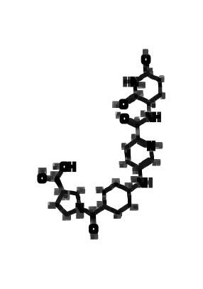 O=C1CCC(NC(=O)c2ccc(NC3CCC(C(=O)N4CC[C@@H](C(=O)O)C4)CC3)cn2)C(=O)N1